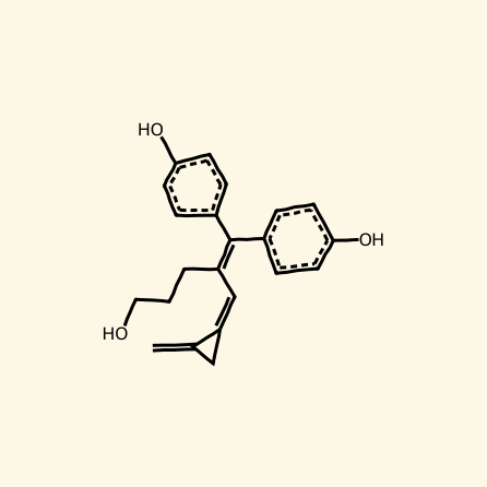 C=C1C/C1=C/C(CCCO)=C(c1ccc(O)cc1)c1ccc(O)cc1